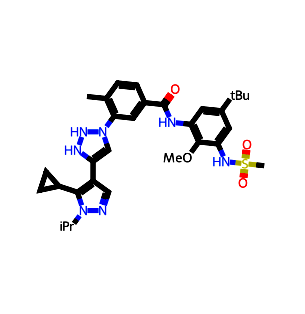 COc1c(NC(=O)c2ccc(C)c(N3C=C(c4cnn(C(C)C)c4C4CC4)NN3)c2)cc(C(C)(C)C)cc1NS(C)(=O)=O